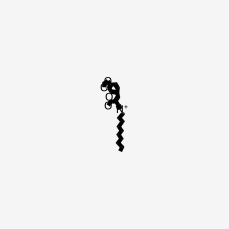 CCCCCCCCCC[N+]#CC(=Cc1ccc2c(c1)OCO2)C(=O)[O-]